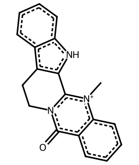 C[n+]1c2n(c(=O)c3ccccc31)CCc1c-2[nH]c2ccccc12